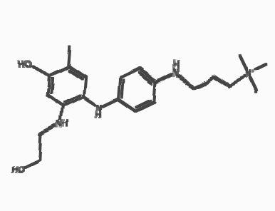 Cc1cc(Nc2ccc(NCCC[N+](C)(C)C)cc2)c(NCCO)cc1O